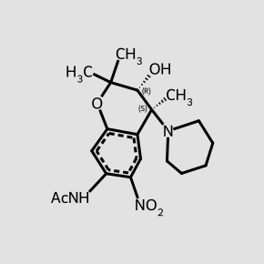 CC(=O)Nc1cc2c(cc1[N+](=O)[O-])[C@](C)(N1CCCCC1)[C@@H](O)C(C)(C)O2